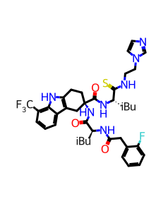 CCC(C)[C@H](NC(=O)Cc1ccccc1F)C(=O)N[C@]1(C(=O)N[C@H](C(=S)NCCn2ccnc2)C(C)CC)CCc2[nH]c3c(C(F)(F)F)cccc3c2C1